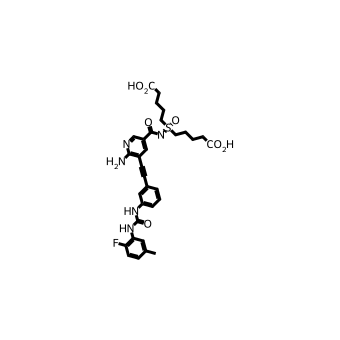 Cc1ccc(F)c(NC(=O)Nc2cccc(C#Cc3cc(C(=O)N=S(=O)(CCCCC(=O)O)CCCCC(=O)O)cnc3N)c2)c1